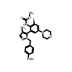 COc1ccc(Cn2ncc(N)c2-c2cc(N3CCOCC3)cc(F)c2NC(=O)OC(C)(C)C)cc1